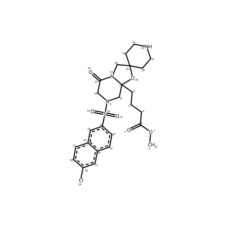 COC(=O)CCCC12CN(S(=O)(=O)c3ccc4cc(Cl)ccc4c3)CC(=O)N1CC1(CCNCC1)O2